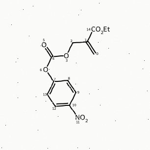 C=C(COC(=O)Oc1ccc([N+](=O)[O-])cc1)C(=O)OCC